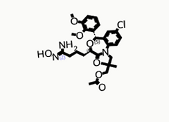 COc1cccc([C@H]2O[C@H](CCC/C(N)=N/O)C(=O)N(CC(C)(C)COC(C)=O)c3ccc(Cl)cc32)c1OC